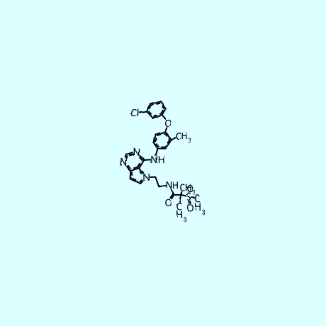 Cc1cc(Nc2ncnc3ccn(CCNC(=O)C(C)(C)S(C)(=O)=O)c23)ccc1Oc1cccc(Cl)c1